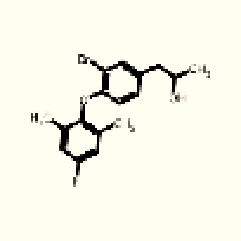 Cc1cc(F)cc(C)c1Oc1ccc(CC(C)O)cc1Br